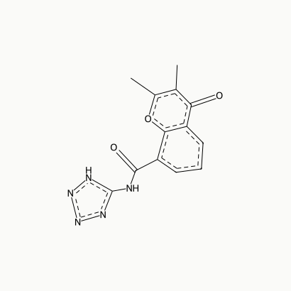 Cc1oc2c(C(=O)Nc3nnn[nH]3)cccc2c(=O)c1C